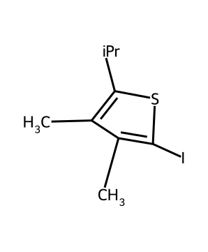 Cc1c(I)sc(C(C)C)c1C